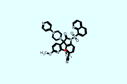 COc1ccc(C2(N3CCN(c4ccncc4)CC3)C(=O)N(S(=O)(=O)c3cccc4cccnc34)c3ccc(C#N)cc32)c(OC)n1